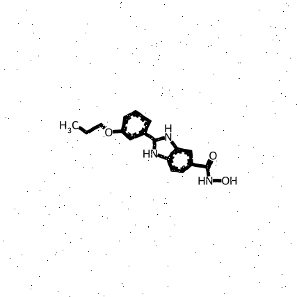 CCCOc1cccc(C2Nc3ccc(C(=O)NO)cc3N2)c1